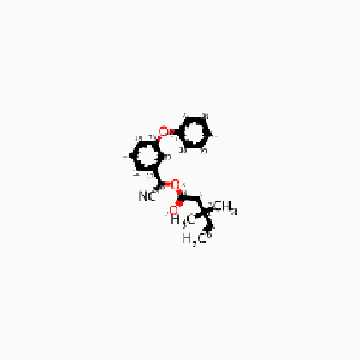 C=CC(C)(C)CC(=O)OC(C#N)c1cccc(Oc2ccccc2)c1